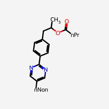 CCCCCCCCCc1cnc(-c2ccc(CC(C)OC(=O)CCC)cc2)nc1